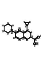 O=C(O)c1cc(C2CC2)c2nc(N3CCCCC3)ccc2c1